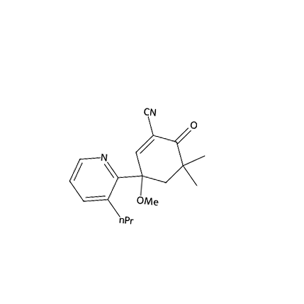 CCCc1cccnc1C1(OC)C=C(C#N)C(=O)C(C)(C)C1